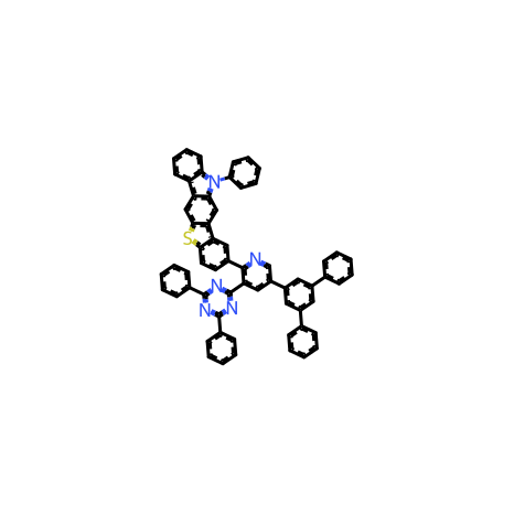 c1ccc(-c2cc(-c3ccccc3)cc(-c3cnc(-c4ccc5sc6cc7c8ccccc8n(-c8ccccc8)c7cc6c5c4)c(-c4nc(-c5ccccc5)nc(-c5ccccc5)n4)c3)c2)cc1